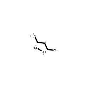 CO.NCCCCl